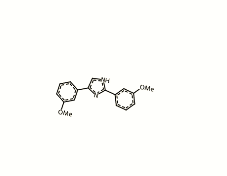 COc1cccc(-c2c[nH]c(-c3cccc(OC)c3)n2)c1